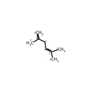 C=C(C)[CH]C=C(C)C